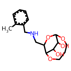 Cc1ccccc1CNCC1OC2OCCCOC1C(O)C2O